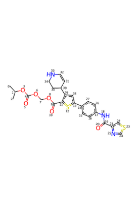 CC(C)OC(=O)OCOC(=O)c1sc(-c2ccc(NC(=O)c3cscn3)cc2)cc1C1C=CNCC1